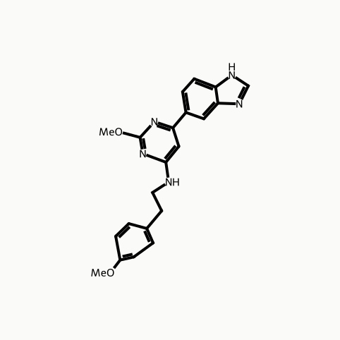 COc1ccc(CCNc2cc(-c3ccc4[nH]cnc4c3)nc(OC)n2)cc1